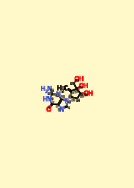 C=C1[C@@H](n2cnc3c(=O)[nH]c(N)nc32)C[C@H](O)[C@@]1(O)CO